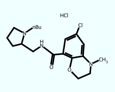 CCCCN1CCCC1CNC(=O)c1cc(Cl)cc2c1OCCN2C.Cl